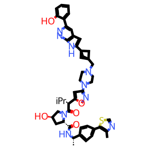 Cc1ncsc1-c1ccc([C@H](C)NC(=O)[C@@H]2C[C@@H](O)CN2C(=O)[C@@H](c2cc(N3CCN(CC45CC(c6cc7cc(-c8ccccc8O)nnc7[nH]6)(C4)C5)CC3)no2)C(C)C)cc1